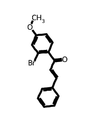 COc1ccc(C(=O)C=Cc2ccccc2)c(Br)c1